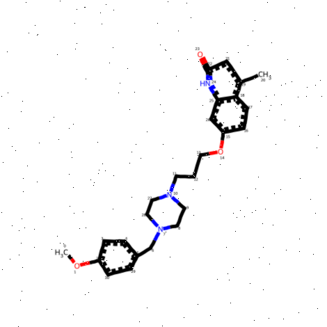 COc1ccc(CN2CCN(CCCOc3ccc4c(C)cc(=O)[nH]c4c3)CC2)cc1